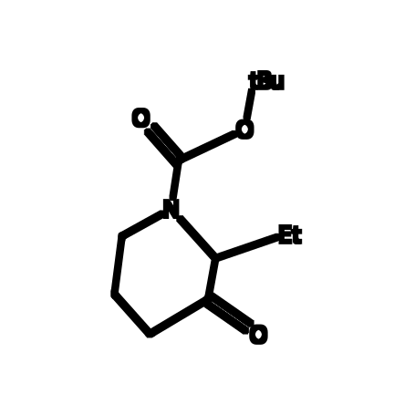 CCC1C(=O)CCCN1C(=O)OC(C)(C)C